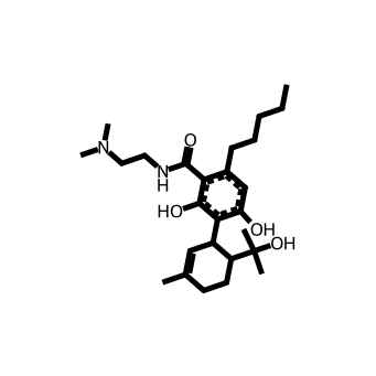 CCCCCc1cc(O)c(C2C=C(C)CCC2C(C)(C)O)c(O)c1C(=O)NCCN(C)C